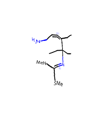 CN/C(=N\C(C)(C)/C(C)=C\N)SC